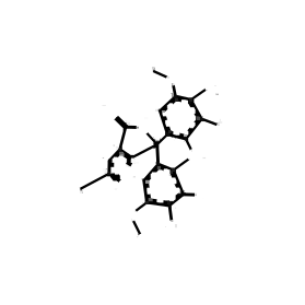 COc1cc2c(c(Cl)c1O)Oc1c(cc(OC)c(O)c1Cl)C21OC(=O)c2cc(C)ccc21